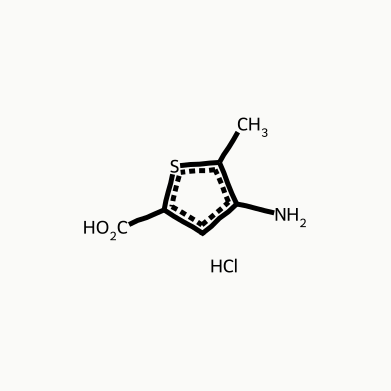 Cc1sc(C(=O)O)cc1N.Cl